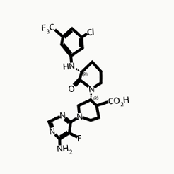 Nc1ncnc(N2CCC(C(=O)O)[C@@H](N3CCC[C@@H](Nc4cc(Cl)cc(C(F)(F)F)c4)C3=O)C2)c1F